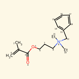 C=C(C)C(=O)OCCC[N+](CC)(CC)Cc1ccccc1